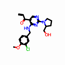 C=CC(=O)c1cnc(N2CCCC2CO)nc1NCc1ccc(OC)c(Cl)c1